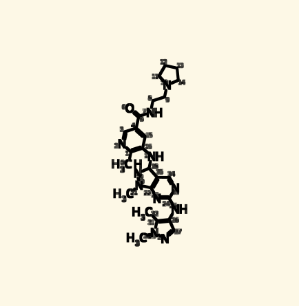 Cc1ncc(C(=O)NCCN2CCCC2)cc1NC1NN(C)c2nc(Nc3cnn(C)c3C)ncc21